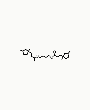 C=C(CCC1(C)CCC(C)C1)OCCCCOC(=O)CCC1(C)CCC(C)C1